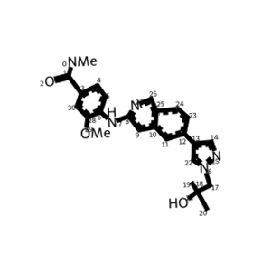 CNC(=O)c1ccc(Nc2cc3cc(-c4cnn(CC(C)(C)O)c4)ccc3cn2)c(OC)c1